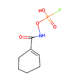 O=C(NOP(=O)(O)F)C1=CCCCC1